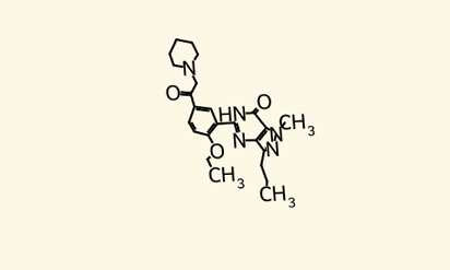 CCCc1nn(C)c2c(=O)[nH]c(-c3cc(C(=O)CN4CCCCC4)ccc3OCC)nc12